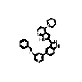 c1ccc(COc2cncc(-c3ccc4[nH]nc(-c5cc6c(N7CCCCC7)ccnc6[nH]5)c4c3)c2)cc1